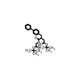 CC(C)(C)OC(=O)CNC(=O)C(CC(=O)OC(C)(C)C)Cc1ccc(-c2ccccc2)cc1